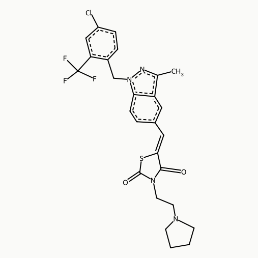 Cc1nn(Cc2ccc(Cl)cc2C(F)(F)F)c2ccc(/C=C3\SC(=O)N(CCN4CCCC4)C3=O)cc12